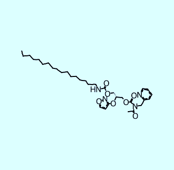 CCCCCCCCCCCCCCCCCNC(=O)OC[C@H](COC(=O)N(Cc1ccccn1)C(C)=O)Oc1ccon1